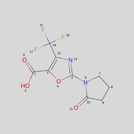 O=C(O)c1oc(N2CCCC2=O)nc1C(F)(F)F